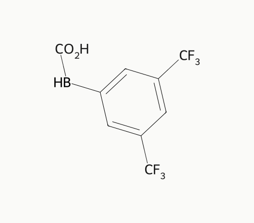 O=C(O)Bc1cc(C(F)(F)F)cc(C(F)(F)F)c1